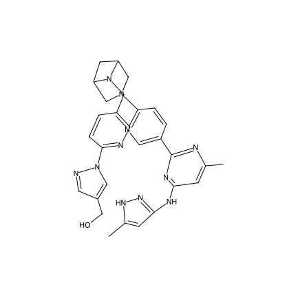 Cc1cc(Nc2cc(C)[nH]n2)nc(-c2ccc(N3CC4CC(C3)N4Cc3ccc(-n4cc(CO)cn4)nc3)nc2)n1